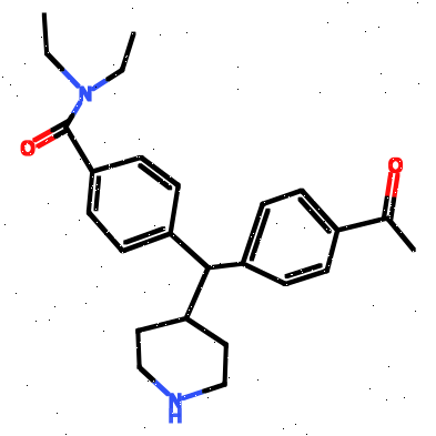 CCN(CC)C(=O)c1ccc(C(c2ccc(C(C)=O)cc2)C2CCNCC2)cc1